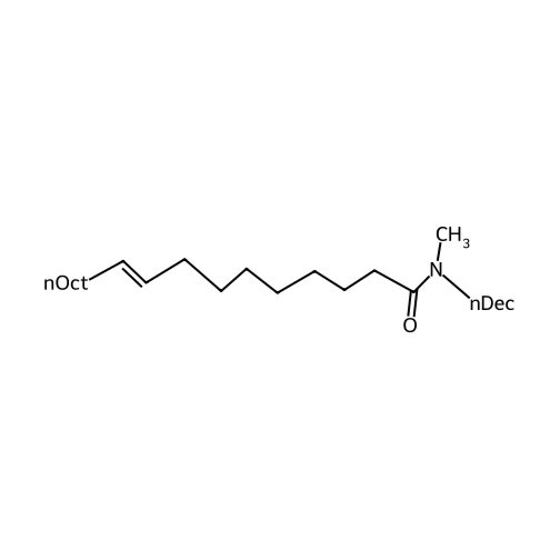 CCCCCCCCC=CCCCCCCCC(=O)N(C)CCCCCCCCCC